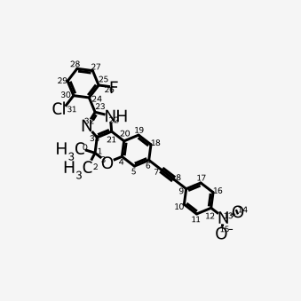 CC1(C)Oc2cc(C#Cc3ccc([N+](=O)[O-])cc3)ccc2-c2[nH]c(-c3c(F)cccc3Cl)nc21